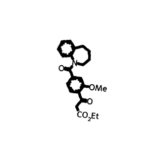 CCOC(=O)CC(=O)c1ccc(C(=O)N2CCCCc3ccccc32)cc1OC